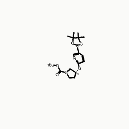 CC(C)(C)OC(=O)N1CC[C@@H](Oc2ccc(B3OC(C)(C)C(C)(C)O3)cn2)C1